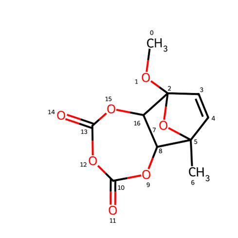 COC12C=CC(C)(O1)C1OC(=O)OC(=O)OC12